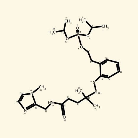 CC(C)OP(=O)(OCCc1ccccc1SSC(C)(C)CCC(=O)NCc1nccn1C)OC(C)C